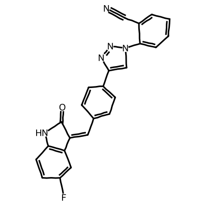 N#Cc1ccccc1-n1cc(-c2ccc(C=C3C(=O)Nc4ccc(F)cc43)cc2)nn1